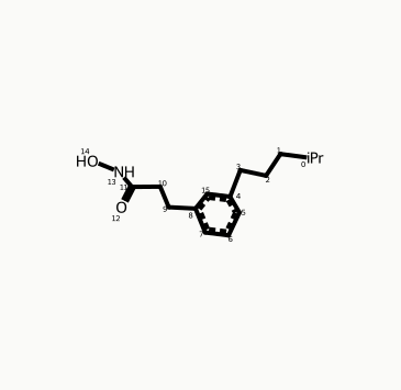 CC(C)CCCc1cccc(CCC(=O)NO)c1